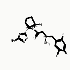 CC(C)c1noc([C@@H]2C3CC[C@@H](C3)N2C(=O)C[C@H](N)Cc2cc(F)c(F)cc2F)n1